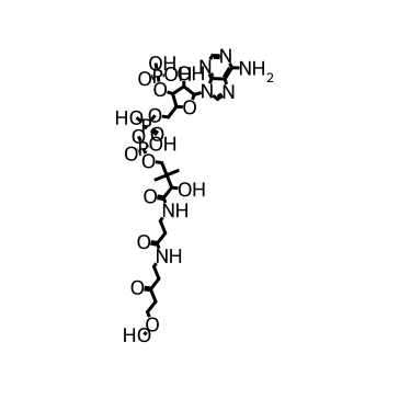 CC(C)(COP(=O)(O)OP(=O)(O)OCC1OC(n2cnc3c(N)ncnc32)C(O)C1OP(=O)(O)O)C(O)C(=O)NCCC(=O)NCCC(=O)CCOO